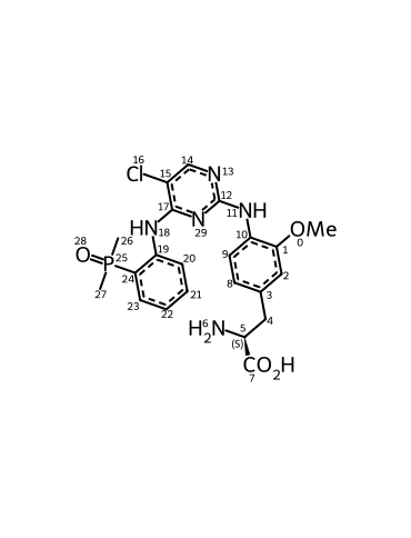 COc1cc(C[C@H](N)C(=O)O)ccc1Nc1ncc(Cl)c(Nc2ccccc2P(C)(C)=O)n1